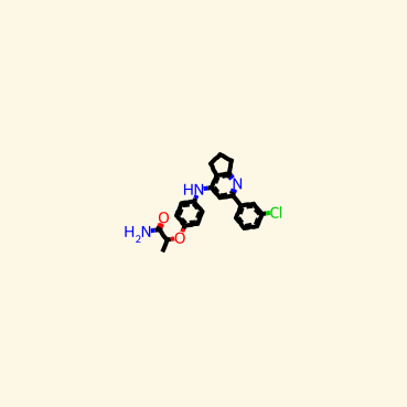 CC(Oc1ccc(Nc2cc(-c3cccc(Cl)c3)nc3c2CCC3)cc1)C(N)=O